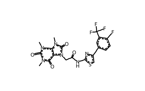 Cn1c(=O)c2c(n(C)c1=O)n(C)c(=O)n2CC(=O)Nc1nc(-c2ccc(F)c(C(F)(F)F)c2)cs1